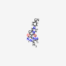 Cc1oc2ncnc(NC3(C)CC3)c2c1C(=O)N1CCN(c2ccc(C#N)cc2)CC1